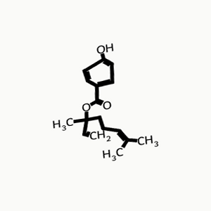 C=CC(C)(CCC=C(C)C)OC(=O)c1ccc(O)cc1